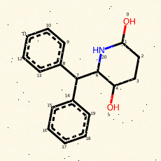 OC1CCC(O)C(C(c2ccccc2)c2ccccc2)N1